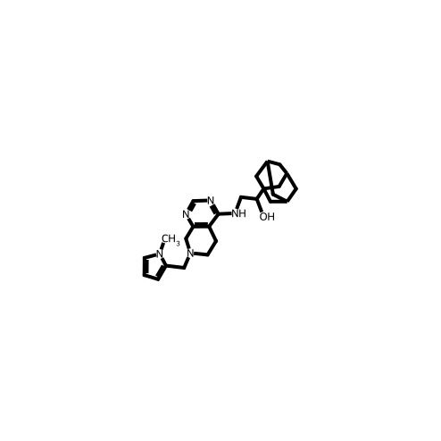 Cn1cccc1CN1CCc2c(ncnc2NCC(O)C23CC4CC(CC(C4)C2)C3)C1